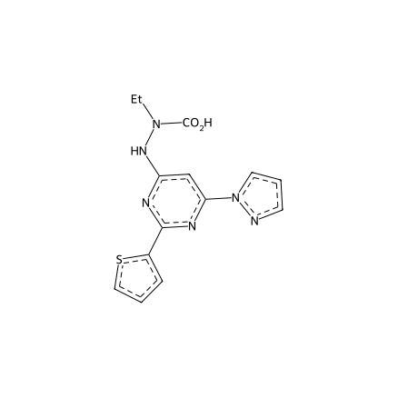 CCN(Nc1cc(-n2cccn2)nc(-c2cccs2)n1)C(=O)O